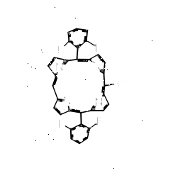 Fc1cccc(F)c1C1=C2C=CC(=N2)C=C2C=CC(=N2)C(c2c(F)cccc2F)=C2C=CC(=N2)C(Br)=C2C=CC1=N2